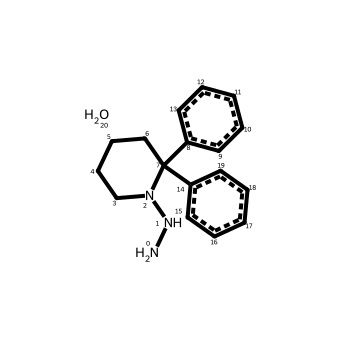 NNN1CCCCC1(c1ccccc1)c1ccccc1.O